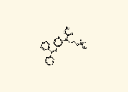 CC(C)(C)OC(=O)N(CCO[Si](C)(C)C(C)(C)C)c1cc(N=C(c2ccccc2)c2ccccc2)ccn1